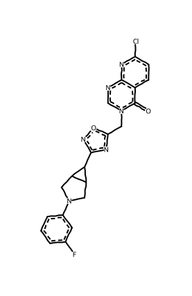 O=c1c2ccc(Cl)nc2ncn1Cc1nc(C2C3CN(c4cccc(F)c4)CC32)no1